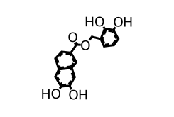 O=C(OCc1cccc(O)c1O)c1ccc2cc(O)c(O)cc2c1